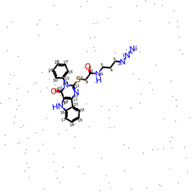 [N-]=[N+]=NCCCNC(=O)CSc1nc2c([nH]c3ccccc32)c(=O)n1-c1ccccc1